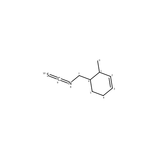 CC1C=CCCC1CN=C=S